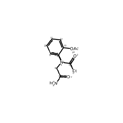 CCC(=O)N(CC(N)=O)c1ccccc1OC(C)=O